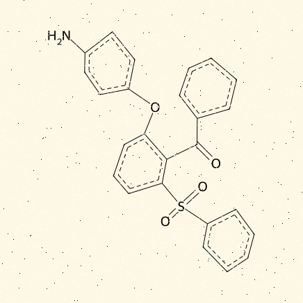 Nc1ccc(Oc2cccc(S(=O)(=O)c3ccccc3)c2C(=O)c2ccccc2)cc1